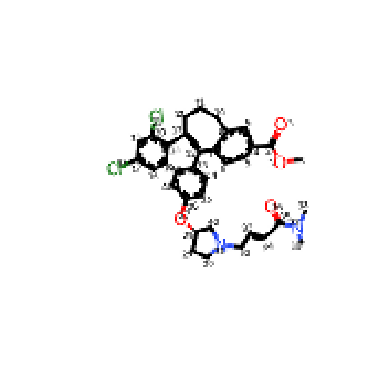 COC(=O)c1ccc2c(c1)CCCC(c1ccc(Cl)cc1Cl)=C2c1ccc(O[C@@H]2CCN(CC=CC(=O)N(C)C)C2)cc1